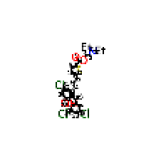 CCN(CC)CCOC(=O)c1ccc(CCC[C@@H]2[C@@H](C(C)c3cc(Cl)cc(Cl)c3)[C@H](O)C[C@H]2Cl)s1